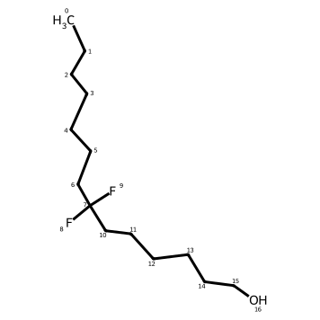 CCCCCCCC(F)(F)CCCCCCO